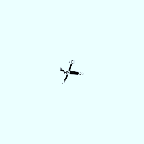 C[SH](=O)(F)Cl